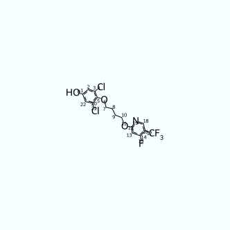 Oc1cc(Cl)c(OCCCCOc2cc(F)c(C(F)(F)F)cn2)c(Cl)c1